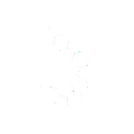 C=Nc1ncn(C)c1C(=O)N(C)Cc1nn(C[C@H](F)c2ccc(OC(F)(F)F)cc2)c(=O)o1